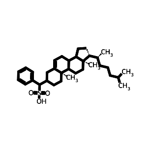 CC(C)CCC[C@@H](C)[C@H]1CCC2C3CC=C4CC(C(c5ccccc5)S(=O)(=O)O)CC[C@]4(C)C3CC[C@@]21C